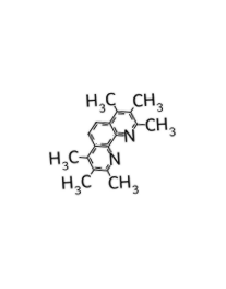 Cc1nc2c(ccc3c(C)c(C)c(C)nc32)c(C)c1C